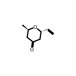 C=C[C@@H]1CC(=O)C[C@@H](C)O1